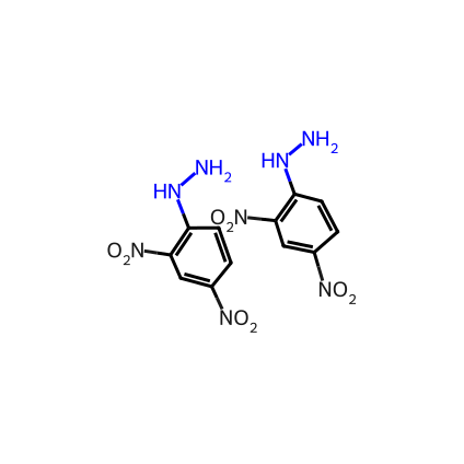 NNc1ccc([N+](=O)[O-])cc1[N+](=O)[O-].NNc1ccc([N+](=O)[O-])cc1[N+](=O)[O-]